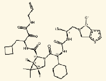 C=CCNC(=O)C(=O)C(CC1CCC1)NC(=O)[C@@H]1[C@@H]2[C@H](CN1C(=O)[C@@H](NC(=O)N[C@H](CN1Cc3sccc3[S+]1[O-])C(C)(C)C)C1CCCCC1)C2(C)C